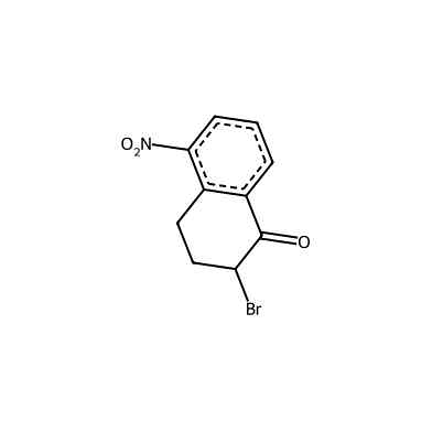 O=C1c2cccc([N+](=O)[O-])c2CCC1Br